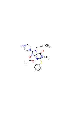 CC#CCN1c2c(nc(Sc3ccccc3)n(C)c2=O)N(OC(=O)C(F)(F)F)C1N1CCNCC1